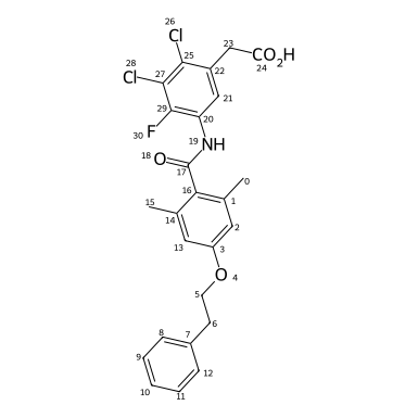 Cc1cc(OCCc2ccccc2)cc(C)c1C(=O)Nc1cc(CC(=O)O)c(Cl)c(Cl)c1F